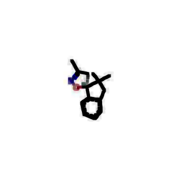 CC1=NO[C@]2(C1)c1ccccc1CC2(C)C